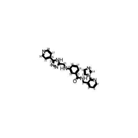 O=C(NCc1cccnc1-n1ccnc1)c1cccc(NCc2nnc(-c3ccncc3)[nH]2)c1